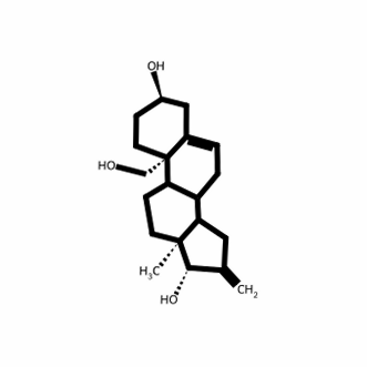 C=C1CC2C3CC=C4C[C@H](O)CC[C@]4(CO)C3CC[C@]2(C)[C@H]1O